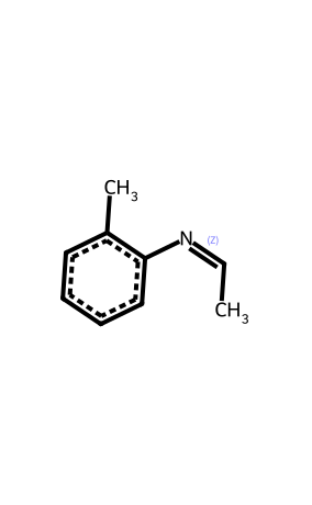 C/C=N\c1ccccc1C